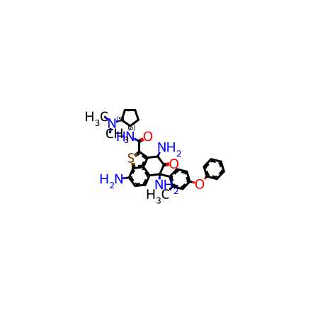 Cc1cc(Oc2ccccc2)ccc1C1(N)C(=O)C(N)c2c(C(=O)N[C@H]3CCC[C@@H]3N(C)C)sc3c(N)ccc1c23